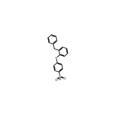 O=[SH](=O)c1ccc(Sc2ccccc2Cc2ccccc2)cc1